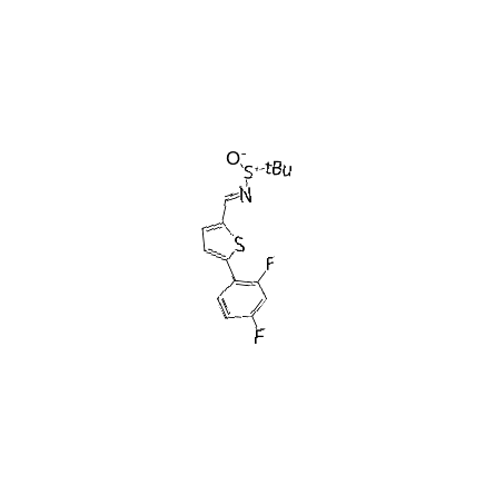 CC(C)(C)[S+]([O-])N=Cc1ccc(-c2ccc(F)cc2F)s1